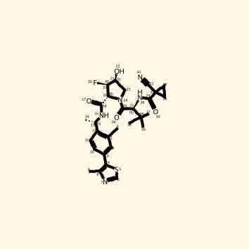 Cc1cc(-c2scnc2C)ccc1[C@H](C)NC(=O)[C@@H]1[C@@H](F)[C@@H](O)CN1C(=O)[C@@H](NC(=O)C1(C#N)CC1)C(C)(C)C